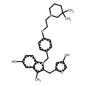 Cc1c(Cc2cc(O)cs2)n(Cc2ccc(OCCN3CCCC(C)(C)C3)cc2)c2ccc(O)cc12